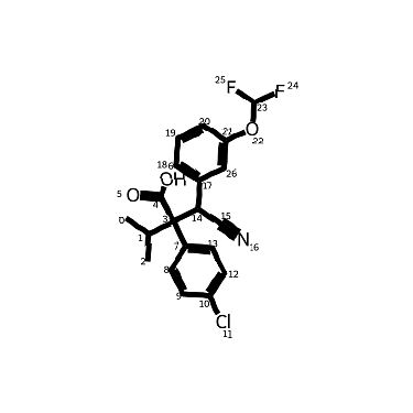 CC(C)C(C(=O)O)(c1ccc(Cl)cc1)C(C#N)c1cccc(OC(F)F)c1